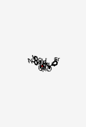 N#Cc1ccc(N2C(=O)[C@@H]3[C@@H]4C[C@@H](CN4C(=O)c4cccc(Br)c4)N3C2=O)c2cccnc12